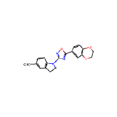 O=Cc1ccc2c(c1)CCN2c1noc(-c2ccc3c(c2)OCCO3)n1